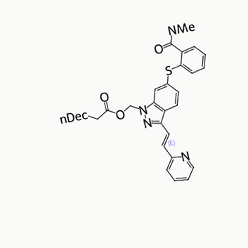 CCCCCCCCCCCC(=O)OCn1nc(/C=C/c2ccccn2)c2ccc(Sc3ccccc3C(=O)NC)cc21